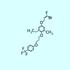 CCc1cc(OCC=C(F)Br)cc(C)c1OCCCOc1ccc(C(F)(F)F)cc1